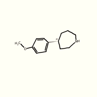 COc1ccc([C@@H]2CCCNCC2)cc1